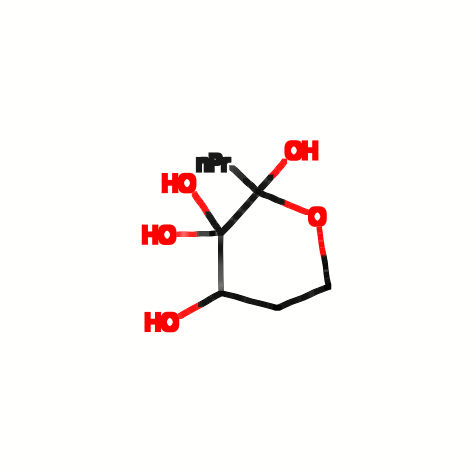 CCCC1(O)OCCC(O)C1(O)O